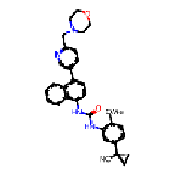 COc1ccc(C2(C#N)CC2)cc1NC(=O)Nc1ccc(-c2ccc(CN3CCOCC3)nc2)c2ccccc12